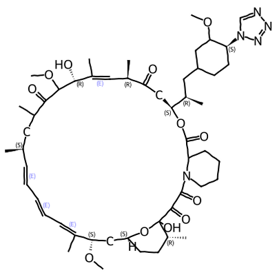 COC1C(=O)C(C)C[C@H](C)/C=C/C=C/C=C(\C)[C@@H](OC)C[C@@H]2CC[C@@H](C)C(O)(O2)C(=O)C(=O)N2CCCCC2C(=O)O[C@H]([C@H](C)CC2CC[C@H](n3cnnn3)C(OC)C2)CC(=O)[C@H](C)/C=C(\C)[C@H]1O